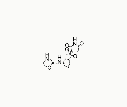 O=C1CCC([N+]2([O-])Cc3c(NC[C@H]4CNCCO4)cccc3C2=O)C(=O)N1